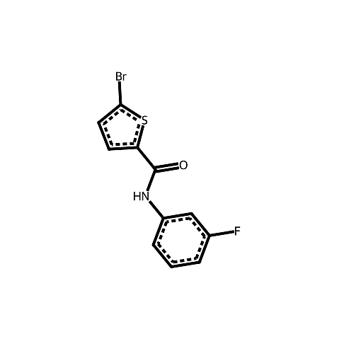 O=C(Nc1cccc(F)c1)c1ccc(Br)s1